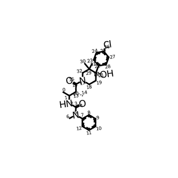 CC(NC(=O)N(C)c1ccccc1)[C@@H](C)C(=O)N1CC[C@](O)(c2ccc(Cl)cc2)C(C)(C)C1